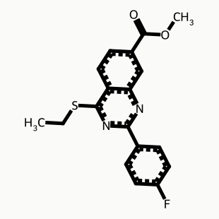 CCSc1nc(-c2ccc(F)cc2)nc2cc(C(=O)OC)ccc12